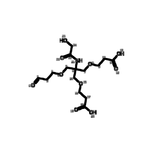 O=CCCOCC(COCCC(=O)O)(COCCC(=O)O)NC(=O)CO